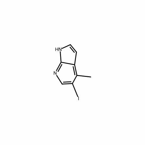 Cc1c(I)cnc2[nH]ccc12